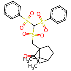 CC1(C)C2CCC1(CS(=O)(=O)C(S(=O)(=O)c1ccccc1)S(=O)(=O)c1ccccc1)C(=O)C2